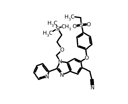 CCS(=O)(=O)c1ccc(Oc2cc3c(cc2CC#N)nc(-c2ccccn2)n3COCC[Si](C)(C)C)cc1